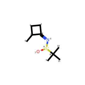 CC1CC/C1=N/[S+]([O-])C(C)(C)C